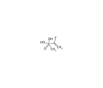 C=C(F)S(C)(=O)(O)O